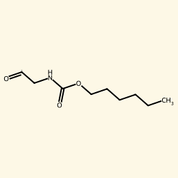 CCCCCCOC(=O)NC[C]=O